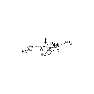 C[C@@](Cc1ccc(O)cc1)(NC(=O)[C@@H]1CC(C(=O)CCCc2ccc(O)cc2)CN1)C(=O)NCCCN